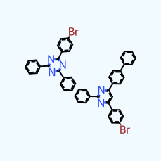 Brc1ccc(-c2cc(-c3ccc(-c4ccccc4)cc3)nc(-c3ccccc3)n2)cc1.Brc1ccc(-c2nc(-c3ccccc3)nc(-c3ccccc3)n2)cc1